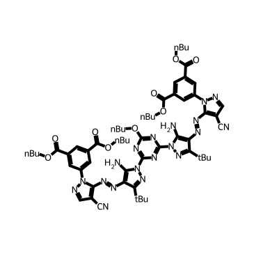 CCCCOC(=O)c1cc(C(=O)OCCCC)cc(-n2ncc(C#N)c2N=Nc2c(C(C)(C)C)nn(-c3nc(OCCCC)nc(-n4nc(C(C)(C)C)c(N=Nc5c(C#N)cnn5-c5cc(C(=O)OCCCC)cc(C(=O)OCCCC)c5)c4N)n3)c2N)c1